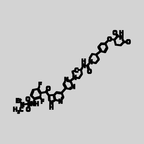 CCN(C)S(=O)(=O)Nc1ccc(F)c(C(=O)c2c[nH]c3ncc(-c4cnc(N5CCC(NC(=O)N6CCC(c7ccc(OC8CCC(=O)NC8=O)cc7)CC6)CC5)nc4)cc23)c1F